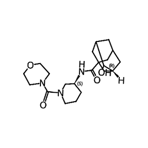 O=C(N1CCOCC1)N1CCC[C@H](NC(=O)C23CC4CC(C2)C(O)[C@H](C4)C3)C1